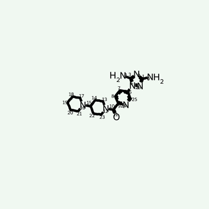 Nc1nc(N)n(-c2ccc(C(=O)N3CCC(N4CCCCC4)CC3)nc2)n1